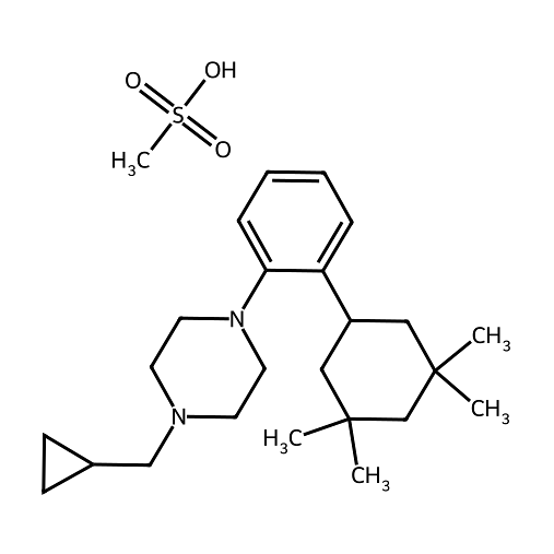 CC1(C)CC(c2ccccc2N2CCN(CC3CC3)CC2)CC(C)(C)C1.CS(=O)(=O)O